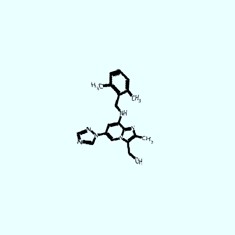 Cc1cccc(C)c1CNc1cc(-n2cncn2)cn2c(CO)c(C)nc12